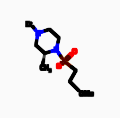 CCN1CCN(S(=O)(=O)CCOC)[C@H](C)C1